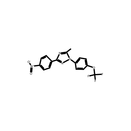 Cc1nc(-c2ccc([N+](=O)[O-])cc2)nn1-c1ccc(OC(F)(F)F)cc1